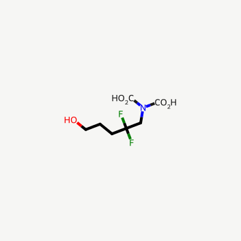 O=C(O)N(CC(F)(F)CCCO)C(=O)O